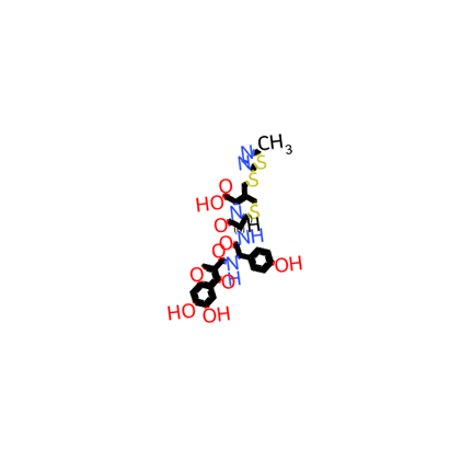 Cc1nnc(SCC2=C(C(=O)O)N3C(=O)[C@@H](NC(=O)C(NC(=O)c4coc5cc(O)c(O)cc5c4=O)c4ccc(O)cc4)[C@@H]3SC2)s1